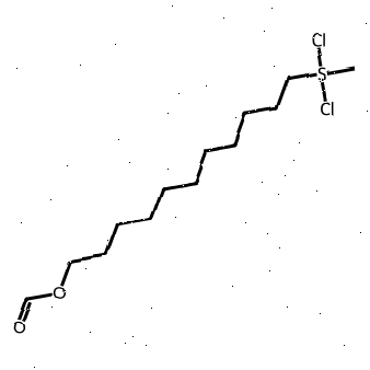 CS(Cl)(Cl)CCCCCCCCCCCOC=O